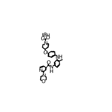 Cc1ccc(NC(=O)c2ccnc(N3CCOCC3)c2)cc1Nc1ccc(OC2CCN(C(=O)OC(C)(C)C)CC2)cc1